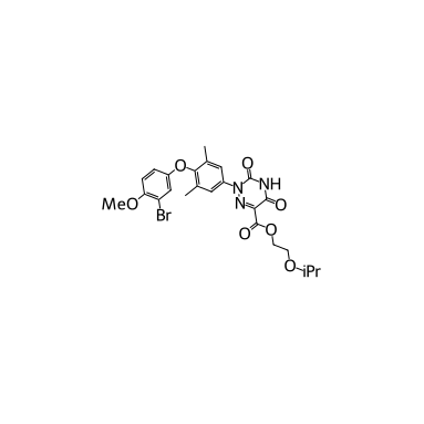 COc1ccc(Oc2c(C)cc(-n3nc(C(=O)OCCOC(C)C)c(=O)[nH]c3=O)cc2C)cc1Br